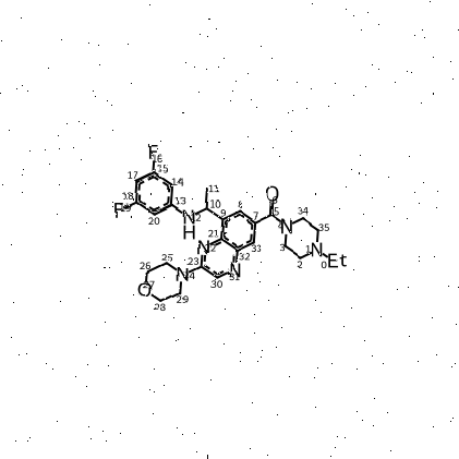 CCN1CCN(C(=O)c2cc(C(C)Nc3cc(F)cc(F)c3)c3nc(N4CCOCC4)cnc3c2)CC1